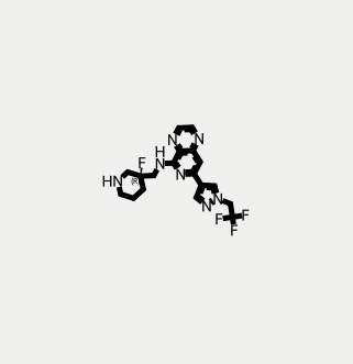 FC(F)(F)Cn1cc(-c2cc3nccnc3c(NC[C@@]3(F)CCCNC3)n2)cn1